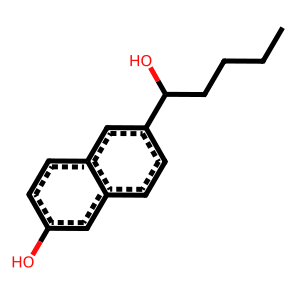 CCCCC(O)c1ccc2cc(O)ccc2c1